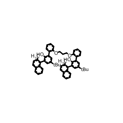 Cc1ccc2ccccc2c1-c1cc(C(C)(C)C)cc(-c2ccccc2OCCCOc2ccccc2-c2cc(C(C)(C)C)cc(-c3c(C)ccc4ccccc34)c2O)c1O